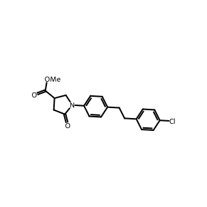 COC(=O)C1CC(=O)N(c2ccc(CCc3ccc(Cl)cc3)cc2)C1